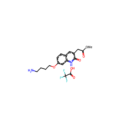 COC(=O)Cc1cc2ccc(OCCCCN)cc2[nH]c1=O.O=C(O)C(F)(F)F